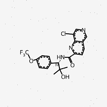 CC(C)(O)[C@@H](NC(=O)c1ccc2cncc(Cl)c2n1)c1ccc(OC(F)(F)F)cc1